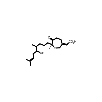 CC(C)=CCC(O)C(C)CCC[C@]1(C)OC/C(=C/C(=O)O)CCC1=O